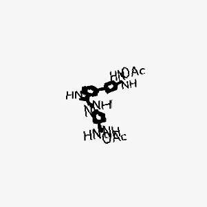 CC(=O)ONC(=N)c1ccc(-c2ccc3[nH]cc(-c4nc5cc(C(=N)NOC(C)=O)ccc5[nH]4)c3c2)cc1